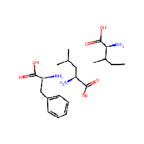 CC(C)C[C@H](N)C(=O)O.CCC(C)[C@H](N)C(=O)O.N[C@@H](Cc1ccccc1)C(=O)O